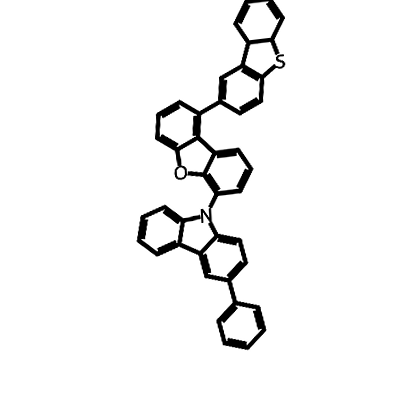 C1=CC2Sc3ccc(-c4cccc5oc6c(-n7c8ccccc8c8cc(-c9ccccc9)ccc87)cccc6c45)cc3C2C=C1